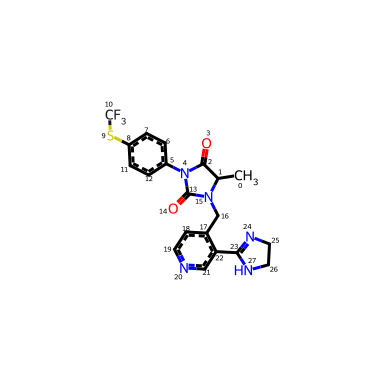 CC1C(=O)N(c2ccc(SC(F)(F)F)cc2)C(=O)N1Cc1ccncc1C1=NCCN1